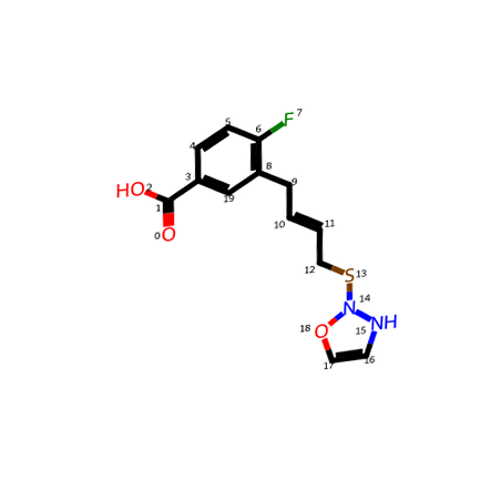 O=C(O)c1ccc(F)c(CC=CCSN2NC=CO2)c1